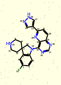 Fc1ccc2c(c1)C1(CCNCC1)CN2c1ncnc2ccc(-c3cn[nH]c3)nc12